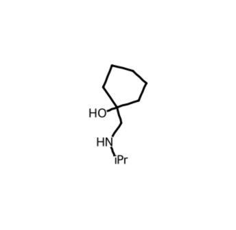 CC(C)NCC1(O)CCCCC1